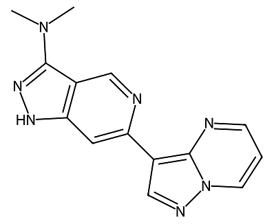 CN(C)c1n[nH]c2cc(-c3cnn4cccnc34)ncc12